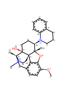 COc1ccc2c3c1O[C@H]1[C@H](N4CCCc5ccccc54)CC[C@@]4(O)[C@@H](C2)N(C)CC[C@]314